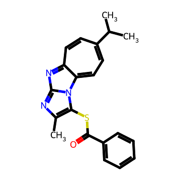 Cc1nc2nc3ccc(C(C)C)ccc3n2c1SC(=O)c1ccccc1